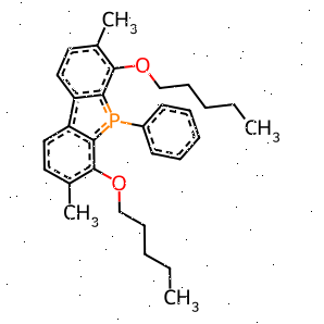 CCCCCOc1c(C)ccc2c3ccc(C)c(OCCCCC)c3p(-c3ccccc3)c12